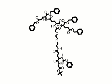 CC(C)(C)OC(=O)CNC(=O)C(CCC(=O)NCCOCCOCC(=O)NC(CCC(=O)NC(CCC(=O)OCc1ccccc1)C(=O)OCc1ccccc1)C(=O)NC(CCC(=O)OCc1ccccc1)C(=O)OCc1ccccc1)NC(=O)Oc1ccccc1